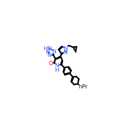 CCCC1CC=C(c2ccc(-c3cc(-c4ccn(CC5CC5)n4)c(-c4nn[nH]n4)c(=O)[nH]3)cc2)CC1